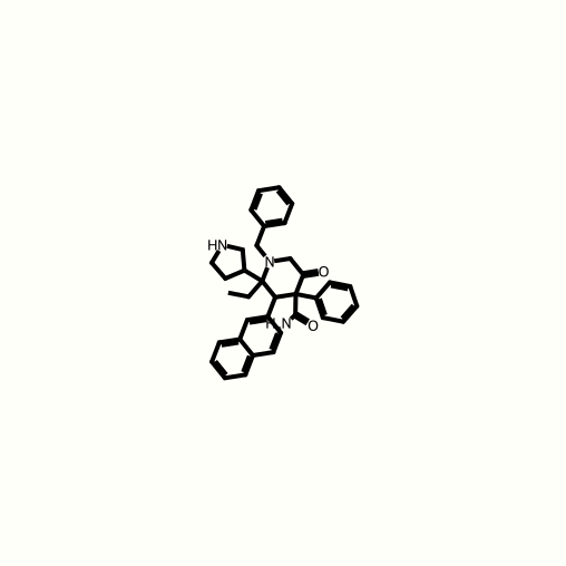 CCC1(C2CCNC2)C(c2ccc3ccccc3c2)C(C(N)=O)(c2ccccc2)C(=O)CN1Cc1ccccc1